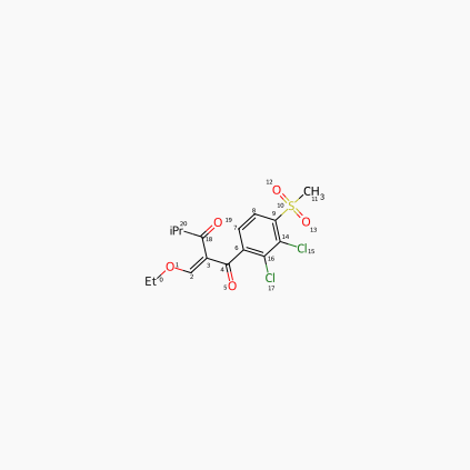 CCOC=C(C(=O)c1ccc(S(C)(=O)=O)c(Cl)c1Cl)C(=O)C(C)C